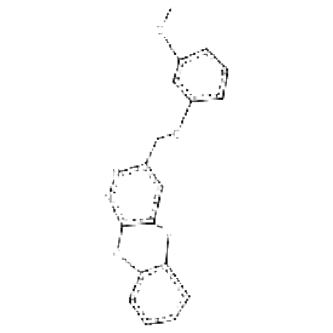 COc1cccc(OCc2cc3c(nn2)Oc2ccccc2O3)c1